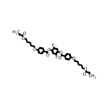 C=CC(=O)OCCCCCOc1ccc(C(=O)Oc2cc(F)c(OC(=O)c3ccc(OCCCCCOC(=O)C=C)cc3)cc2F)cc1